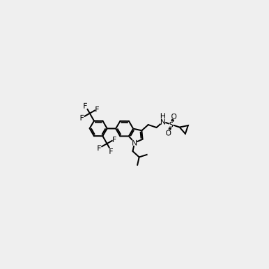 CC(C)Cn1cc(CCNS(=O)(=O)C2CC2)c2ccc(-c3cc(C(F)(F)F)ccc3C(F)(F)F)cc21